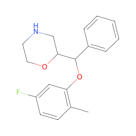 Cc1ccc(F)cc1OC(c1ccccc1)C1CNCCO1